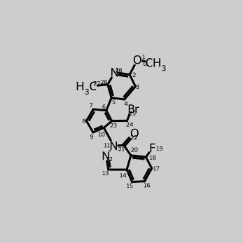 COc1ccc(-c2cccc(-n3ncc4cccc(F)c4c3=O)c2CBr)c(C)n1